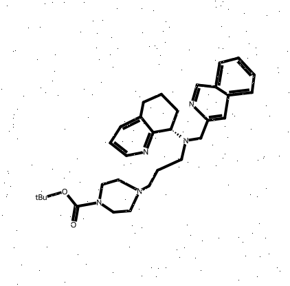 CC(C)(C)OC(=O)N1CCN(CCCN(Cc2cc3ccccc3cn2)[C@H]2CCCc3cccnc32)CC1